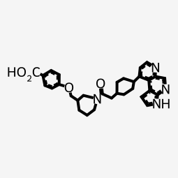 O=C(O)c1ccc(OCC2CCCN(C(=O)CC3CCC(c4ccnc5cnc6[nH]ccc6c45)CC3)C2)cc1